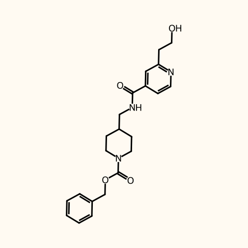 O=C(NCC1CCN(C(=O)OCc2ccccc2)CC1)c1ccnc(CCO)c1